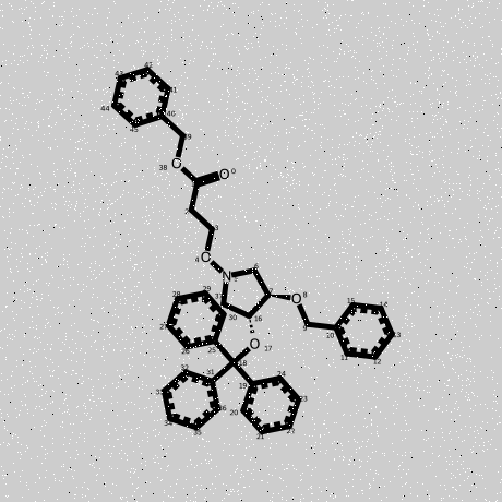 O=C(CCON1C[C@@H](OCc2ccccc2)[C@H](OC(c2ccccc2)(c2ccccc2)c2ccccc2)C1)OCc1ccccc1